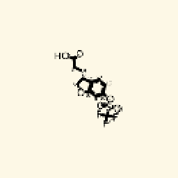 O=C(O)CC[C@H]1COc2cc(OS(=O)(=O)C(F)(F)F)ccc21